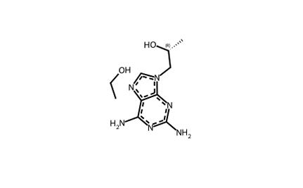 CCO.C[C@@H](O)Cn1cnc2c(N)nc(N)nc21